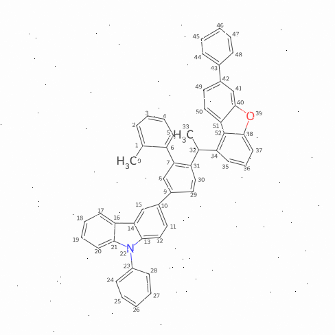 Cc1ccccc1-c1cc(-c2ccc3c(c2)c2ccccc2n3-c2ccccc2)ccc1C(C)c1cccc2oc3cc(-c4ccccc4)ccc3c12